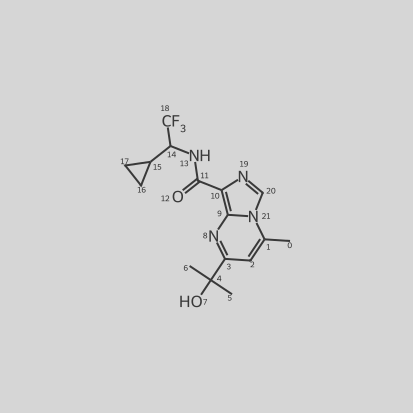 Cc1cc(C(C)(C)O)nc2c(C(=O)NC(C3CC3)C(F)(F)F)ncn12